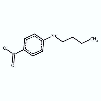 CCC[CH2][Sn][c]1ccc([N+](=O)[O-])cc1